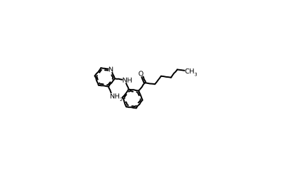 CCCCCC(=O)c1ccccc1Nc1ncccc1N